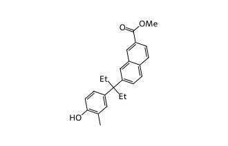 CCC(CC)(c1ccc(O)c(C)c1)c1ccc2ccc(C(=O)OC)cc2c1